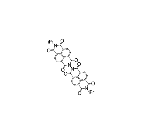 CC(C)N1C(=O)c2ccc3c4c(ccc(c24)C1=O)C(=O)N(N1C(=O)c2ccc4c5c(ccc(c25)C1=O)C(=O)N(C(C)C)C4=O)C3=O